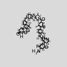 Cc1cc(C(=O)N2CCC(CN3CCN(Cc4ccc5c(c4)C(C)(C)C(=O)N5[C@@H]4CCC(=O)NC4=O)C[C@@H]3C)CC2)cc(F)c1C1=CCN([C@@H](C)c2cc3c(-n4cc(F)c(N)cc4=O)ccnc3n2C)CC1